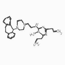 C=CCC1=NC(CC=C)N(N)C(NCCN2CCN(C3c4ccccc4CCc4ccccc43)CC2)=N1